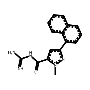 Cn1nc(-c2cccc3ccccc23)cc1C(=O)NC(=N)N